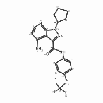 Nc1ncnc2c1c(C(=O)Nc1ccc(OC(F)(F)F)cc1)nn2C1CCCC1